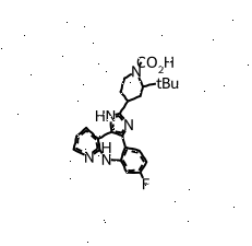 CC(C)(C)C1CC(c2nc3c([nH]2)-c2cccnc2Nc2cc(F)ccc2-3)CCN1C(=O)O